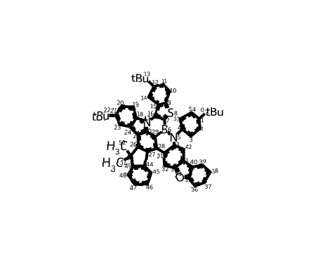 CC(C)(C)c1ccc(N2B3c4sc5ccc(C(C)(C)C)cc5c4-n4c5ccc(C(C)(C)C)cc5c5c6c(c(c3c54)-c3cc4oc5ccccc5c4cc32)-c2ccccc2C6(C)C)cc1